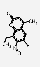 CCc1c(N=O)c(F)cc2c(C)cc(=O)oc12